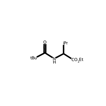 CCOC(=O)C(NC(=O)C(C)(C)C)C(C)C